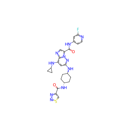 O=C(N[C@H]1CC[C@H](Nc2cc(NC3CC3)c3ncc(C(=O)Nc4ccnc(F)c4)n3n2)CC1)c1csnn1